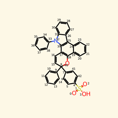 O=S(=O)(O)c1ccc(C2(c3ccccc3)C=Cc3c(c4ccccc4c4c5ccccc5n(-c5ccccc5)c34)O2)cc1